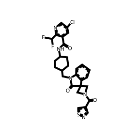 O=C(NC1CCC(CN2C(=O)C3(CN(C(=O)c4cnsc4)C3)c3ccccc32)CC1)c1cc(Cl)cnc1C(F)F